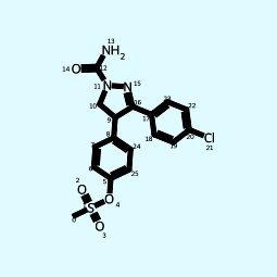 CS(=O)(=O)Oc1ccc(C2CN(C(N)=O)N=C2c2ccc(Cl)cc2)cc1